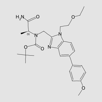 CCOCCn1c(CN(C(=O)OC(C)(C)C)[C@@H](C)C(N)=O)nc2cc(-c3ccc(OC)cc3)ccc21